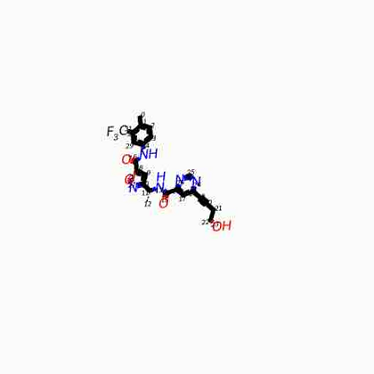 Cc1ccc(NC(=O)c2cc([C@@H](C)NC(=O)c3cc(C#CCCO)ncn3)no2)cc1C(F)(F)F